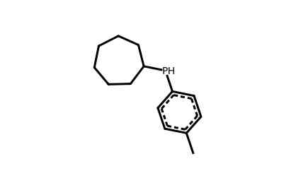 Cc1ccc(PC2CCCCCC2)cc1